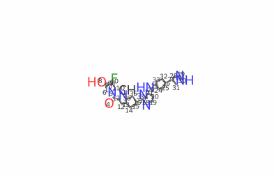 Cn1c(C(=O)N2C[C@@H](O)[C@@H](F)C2)cc2ccc(-c3nccc(Nc4ccc(-c5cn[nH]c5)cc4)n3)cc21